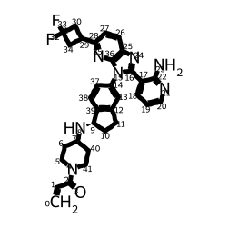 C=CC(=O)N1CCC(N[C@H]2CCc3cc(-n4c(-c5cccnc5N)nc5ccc(C6CC(F)(F)C6)nc54)ccc32)CC1